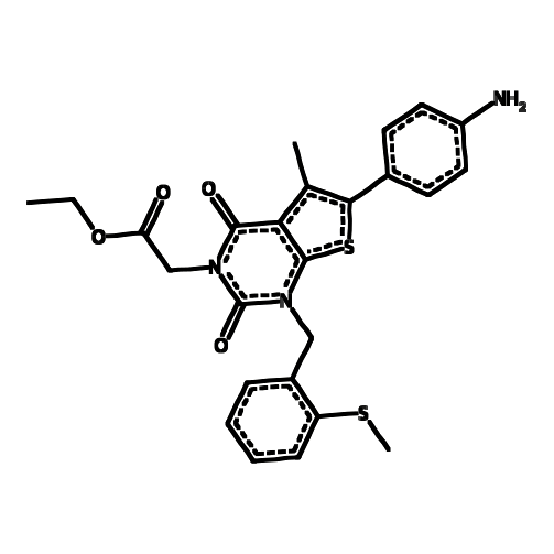 CCOC(=O)Cn1c(=O)c2c(C)c(-c3ccc(N)cc3)sc2n(Cc2ccccc2SC)c1=O